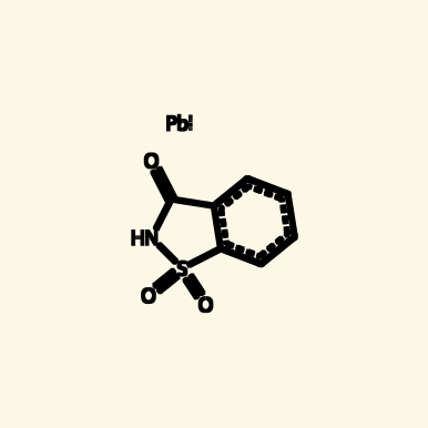 O=C1NS(=O)(=O)c2ccccc21.[Pb]